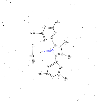 CCCCC1=C(c2cc(CCCC)cc(CCCC)c2)[N+](=[N-])C(c2cc(CCCC)cc(CCCC)c2)=C1CCCC.C[CH2][Ni][CH2]C